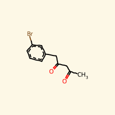 CC(=O)CC(=O)Cc1cccc(Br)c1